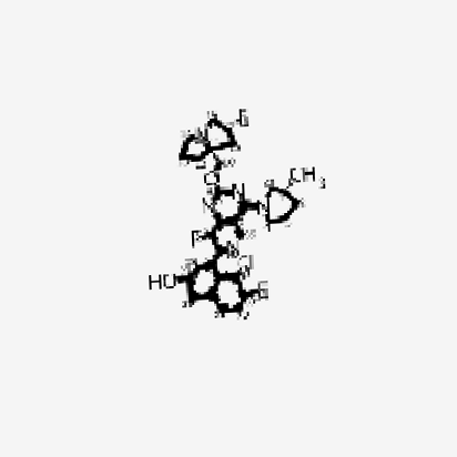 C[C@@H]1CCCN(c2nc(OC[C@@]34CCCN3C[C@H](F)C4)nc3c(F)c(-c4cc(O)cc5ccc(F)c(Cl)c45)ncc23)C1